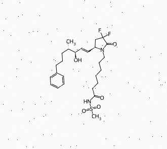 C[C@@H](CCCc1ccccc1)[C@H](O)/C=C/[C@H]1CC(F)(F)C(=O)N1CCCCCCC(=O)NS(C)(=O)=O